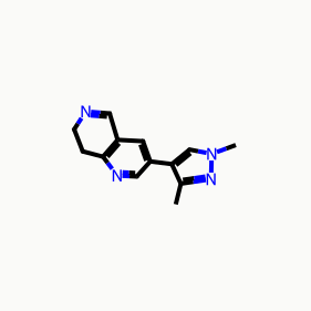 Cc1nn(C)cc1-c1cnc2c(c1)C=NCC2